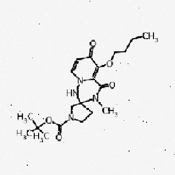 CCCCOc1c2n(ccc1=O)NC1(CCN(C(=O)OC(C)(C)C)C1)N(C)C2=O